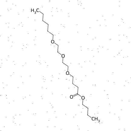 CCCCCCOCCOCCOCCCC(=O)OCCCC